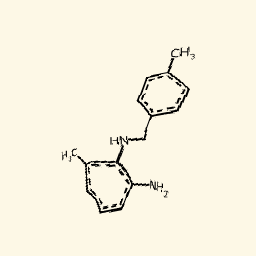 Cc1ccc(CNc2c(C)cccc2N)cc1